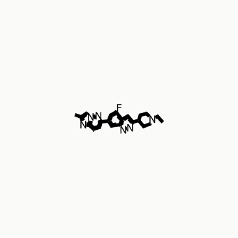 CCN1CCC(c2cc3c(F)cc(-c4c[c]c5nc(C)cn5n4)cc3nn2)CC1